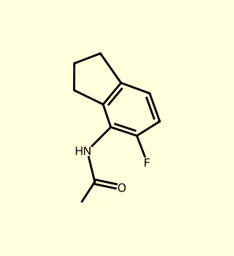 CC(=O)Nc1c(F)ccc2c1CCC2